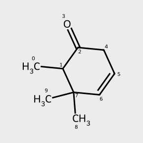 CC1C(=O)CC=CC1(C)C